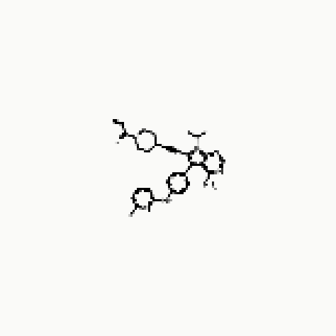 C=CC(=O)N1CCC(C#Cc2c(-c3ccc(Nc4cccc(C)n4)cc3)c3c(N)ncnc3n2C(C)C)CC1